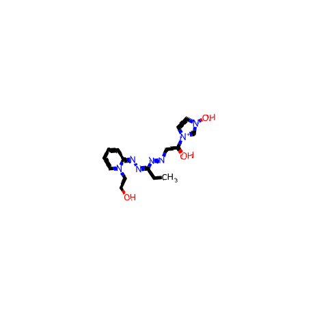 CCC(N=NCC(O)[n+]1ccn(O)c1)=NN=c1ccccn1CCO